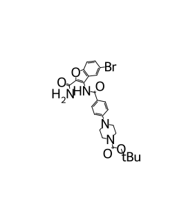 CC(C)(C)OC(=O)N1CCN(c2ccc(C(=O)Nc3c(C(N)=O)oc4ccc(Br)cc34)cc2)CC1